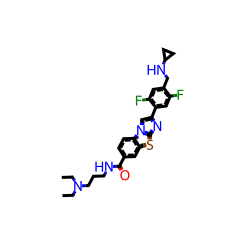 CCN(CC)CCCNC(=O)c1ccc2c(c1)sc1nc(-c3cc(F)c(CNC4CC4)cc3F)cn12